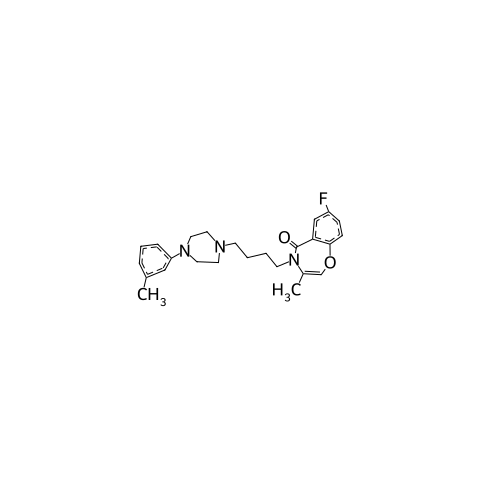 CC1=COc2ccc(F)cc2C(=O)N1CCCCN1CCN(c2cccc(C)c2)CC1